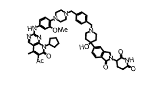 COc1cc(Nc2ncc3c(C)c(C(C)=O)c(=O)n(C4CCCC4)c3n2)ccc1N1CCN(Cc2ccc(CN3CCC(O)(c4ccc5c(c4)CN(C4CCC(=O)NC4=O)C5=O)CC3)cc2)CC1